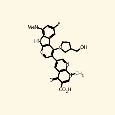 CNc1cc(F)cc2c1[nH]c1ncc(-c3cnc4c(c3)c(=O)c(C(=O)O)cn4C)c(N3CCC(CO)C3)c12